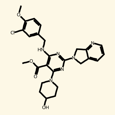 COC(=O)c1c(NCc2ccc(OC)c(Cl)c2)nc(N2Cc3cccnc3C2)nc1N1CCC(O)CC1